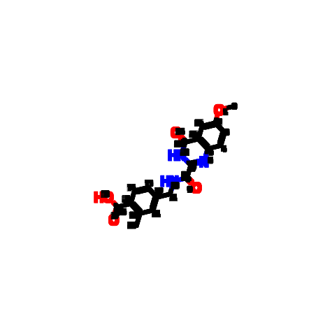 COc1ccc2nc(C(=O)NCc3ccc(C(=O)O)c(C)c3)[nH]c(=O)c2c1